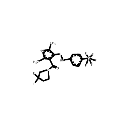 Cc1[nH]c(C)c(C(=O)N2CCC(F)(F)C2)c1SNc1ccc(S(F)(F)(F)(F)F)cc1